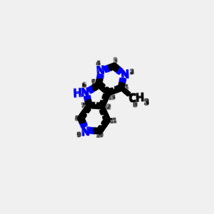 Cc1ncnc2[nH]c3cnccc3c12